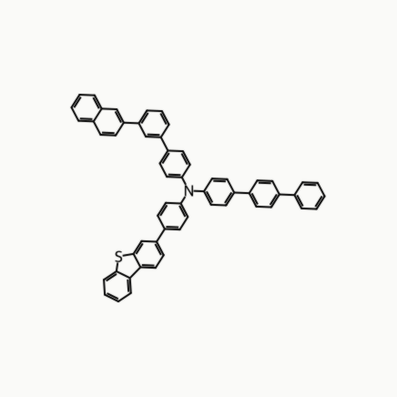 c1ccc(-c2ccc(-c3ccc(N(c4ccc(-c5cccc(-c6ccc7ccccc7c6)c5)cc4)c4ccc(-c5ccc6c(c5)sc5ccccc56)cc4)cc3)cc2)cc1